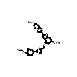 COc1cc(OCc2csc(-c3ccc(OCF)cc3)n2)c2cc(-c3cn4nc(OC)sc4n3)oc2c1